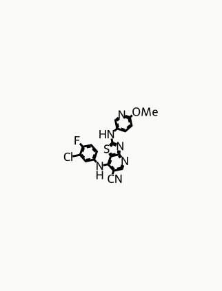 COc1ccc(Nc2nc3ncc(C#N)c(Nc4ccc(F)c(Cl)c4)c3s2)cn1